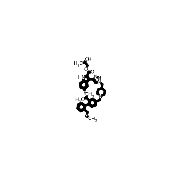 COCc1ccccc1-c1ccc(CN2CCC(Cn3cc(-c4c(C(=O)OCC(C)C)[nH]c5ccc(F)cc45)nn3)CC2)cc1C(C)C